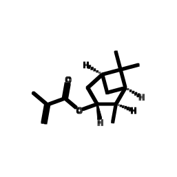 C=C(C)C(=O)O[C@@H]1C[C@@H]2C[C@H]([C@H]1C)C2(C)C